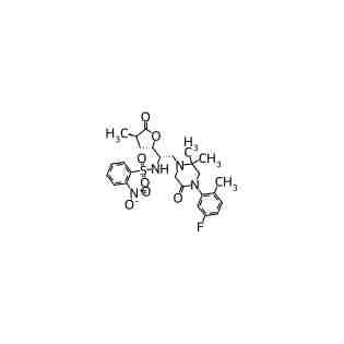 Cc1ccc(F)cc1N1CC(C)(C)N(C[C@H](NS(=O)(=O)c2ccccc2[N+](=O)[O-])[C@@H]2C[C@@H](C)C(=O)O2)CC1=O